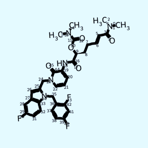 CN(C)C(=O)/C=C/CC[C@H](OC(=O)N(C)C)C(=O)Nc1cccn(Cc2cc3cc(F)ccc3n2Cc2ccc(F)cc2F)c1=O